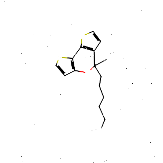 CCCCCCCCCCCCCCCC1(C)Oc2ccsc2-c2sccc21